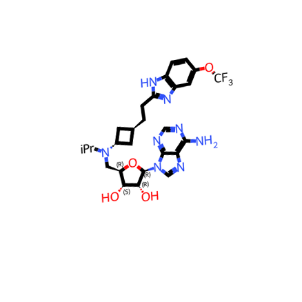 CC(C)N(C[C@H]1O[C@@H](n2cnc3c(N)ncnc32)[C@H](O)[C@@H]1O)[C@H]1C[C@H](CCc2nc3cc(OC(F)(F)F)ccc3[nH]2)C1